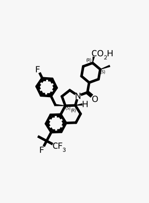 C[C@H]1CC(C(=O)N2CC[C@@]3(Cc4ccc(F)cc4)c4ccc(C(C)(F)C(F)(F)F)cc4CC[C@@H]23)CC[C@H]1C(=O)O